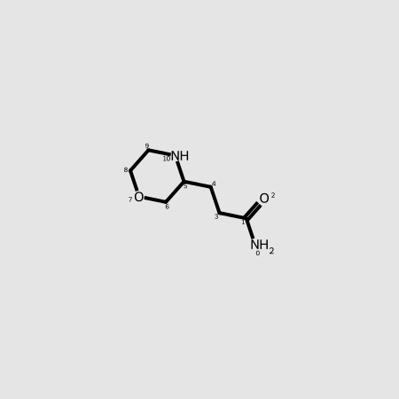 NC(=O)CCC1COCCN1